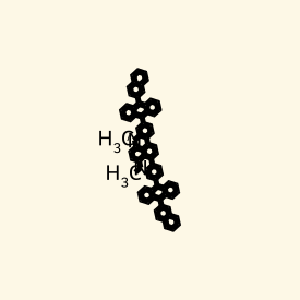 CN1c2cc(-c3c4ccccc4c(-c4ccc5ccccc5c4)c4ccccc34)ccc2-c2ccc3c4c(ccc1c24)N(C)c1cc(-c2c4ccccc4c(-c4ccc5ccccc5c4)c4ccccc24)ccc1-3